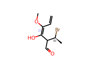 C=C/C(OC)=C(/O)C(C=O)[C@H](C)Br